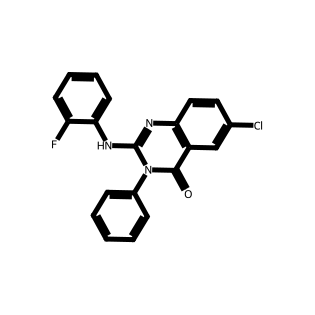 O=c1c2cc(Cl)ccc2nc(Nc2ccccc2F)n1-c1ccccc1